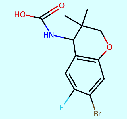 CC1(C)COc2cc(Br)c(F)cc2C1NC(=O)O